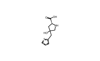 O=C(O)[C@@H]1CC(O)(Cc2cccs2)CN1